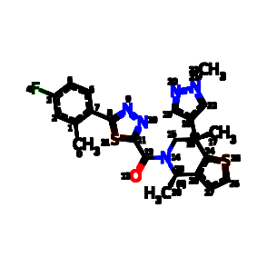 Cc1cc(F)ccc1-c1nnc(C(=O)N2C[C@](C)(c3cnn(C)c3)c3sccc3[C@H]2C)s1